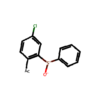 CC(=O)c1ccc(Cl)cc1[S+]([O-])c1ccccc1